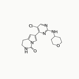 O=C1NCCc2cc(-c3nc(NC4CCOCC4)ncc3Cl)cn21